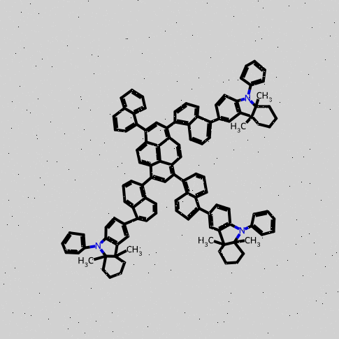 CC12CCCCC1(C)N(c1ccccc1)c1ccc(-c3cccc4c(-c5cc(-c6cccc7ccccc67)c6ccc7c(-c8cccc9c(-c%10ccc%11c(c%10)C%10(C)CCCCC%10(C)N%11c%10ccccc%10)cccc89)cc(-c8cccc9c(-c%10ccc%11c(c%10)C%10(C)CCCCC%10(C)N%11c%10ccccc%10)cccc89)c8ccc5c6c78)cccc34)cc12